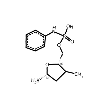 B[C@H]1CC(C)[C@@H](COP(=O)(O)Nc2ccccc2)O1